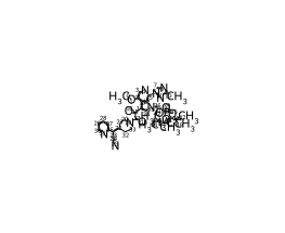 COc1cnc(-n2cnc(C)n2)c2c1c(C(=O)C(=O)N1CCC(=C(C#N)c3ccccn3)CC1)cn2COP(=O)(OC(C)(C)C)OC(C)(C)C